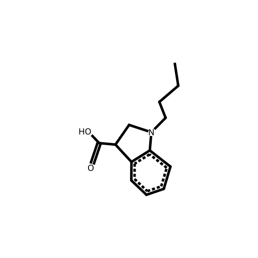 CCCCN1CC(C(=O)O)c2ccccc21